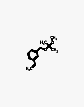 C=Cc1cccc(COC(C)(C)OC)c1